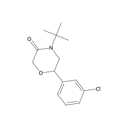 CC(C)(C)N1CC(c2cccc(Cl)c2)OCC1=O